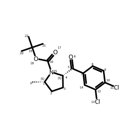 C[C@H]1CC[C@@H](C(=O)c2ccc(Cl)c(Cl)c2)N1C(=O)OC(C)(C)C